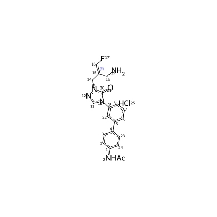 CC(=O)Nc1ccc(-c2cccc(-n3cnn(C/C(=C/F)CN)c3=O)c2)cc1.Cl